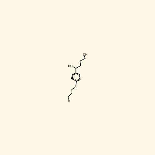 OCCCC(O)c1ccc(SCCCBr)cc1